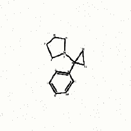 c1ccc(C2(N3CCCC3)CC2)cc1